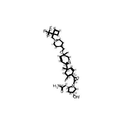 CC1(OCC2CCN(CC3(C(F)(F)F)CCC3)CC2)C=CC(C2(C)C=CC(C3OC3N3C[C@H](O)C[C@@H]3CC(N)=O)=C(F)C2)=NC1